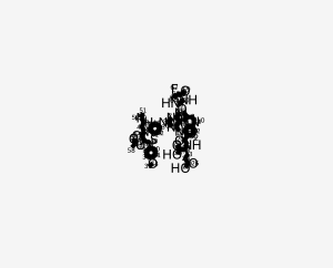 CN(Cc1cnc2nc(N)nc(N)c2n1)c1ccc(C(=O)N[C@@H](CCC(=O)O)C(=O)O)cc1.COc1ccc([C@@H]2Sc3ccccc3N(CCN(C)C)C(=O)[C@@H]2OC(C)=O)cc1.O=c1[nH]cc(F)c(=O)[nH]1